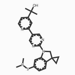 CN(C)Sc1ccc2c(c1)N(c1ncc(-c3cc(C(C)(C)O)ccn3)cn1)CC21CC1